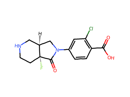 O=C(O)c1ccc(N2C[C@@H]3CNCC[C@]3(F)C2=O)cc1Cl